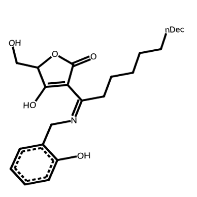 CCCCCCCCCCCCCCCC(=NCc1ccccc1O)C1=C(O)C(CO)OC1=O